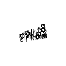 O=C1C=C(c2c(-n3cnnn3)ccc(Cl)c2F)C[C@H]2CC[C@H](c3ncc(-c4ccnc(N5CCC[C@H](O)C5)c4F)[nH]3)N12